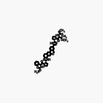 COC(=O)N[C@H](C(=O)N1CCC[C@H]1c1ncc(-c2ccc3c(c2)COc2cc4c(cc2-3)CCc2nc([C@@H]3CCCN3C(=O)[C@H](NC(=O)OC)c3ccccc3)[nH]c2-4)[nH]1)[C@@H](C)OC